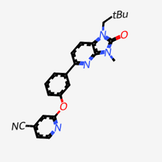 Cn1c(=O)n(CC(C)(C)C)c2ccc(-c3cccc(Oc4cc(C#N)ccn4)c3)nc21